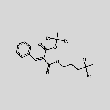 CCC(C)(CC)CCCOC(=O)/C(=C/c1ccccc1)C(=O)OC(C)(CC)CC